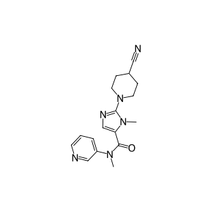 CN(C(=O)c1cnc(N2CCC(C#N)CC2)n1C)c1cccnc1